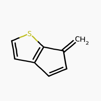 C=C1C=Cc2ccsc21